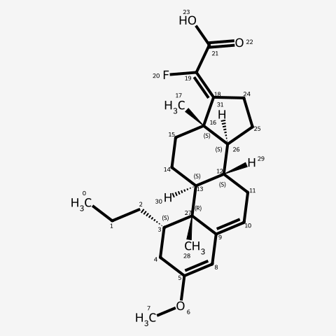 CCC[C@H]1CC(OC)=CC2=CC[C@@H]3[C@H](CC[C@]4(C)C(=C(F)C(=O)O)CC[C@@H]34)[C@]21C